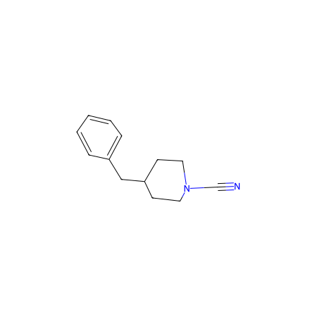 N#CN1CCC(Cc2ccccc2)CC1